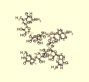 C[n+]1cn([C@@H]2O[C@H](COP(=O)(O)OP(=O)(O)O[P@](=O)(S)OC[C@H]3O[C@@H](n4cnc5c(N)ncnc54)[C@@H](O)C3OP(=O)(O)OC[C@H]3O[C@@H](n4cnc5c(=O)[nH]c(N)nc54)[C@@H](O)C3OP(=O)(O)OC[C@H]3C[C@@H](n4cnc5c(=O)[nH]c(N)nc54)[C@@H](O)C3O)C(O)[C@@H]2O)c2nc(N)[nH]c(=O)c21